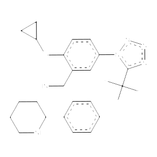 FC(F)(F)c1nnnn1-c1ccc(OC2CC2)c(CN[C@H]2CCCN[C@H]2c2ccccc2)c1